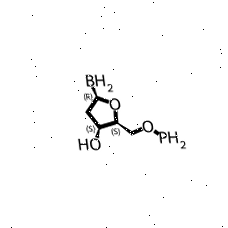 B[C@@H]1C[C@H](O)[C@H](COP)O1